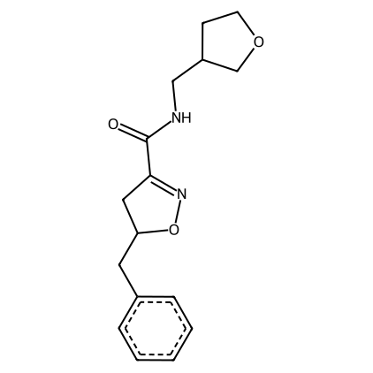 O=C(NCC1CCOC1)C1=NOC(Cc2ccccc2)C1